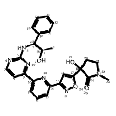 C[C@@H](O)[C@@H](Nc1nccc(-c2cccc(-c3cc(C4(O)CCN(C)C4=O)on3)n2)n1)c1ccccc1